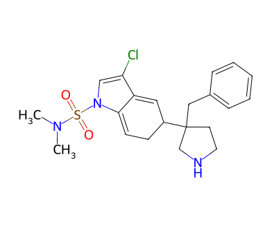 CN(C)S(=O)(=O)n1cc(Cl)c2c1=CCC(C1(Cc3ccccc3)CCNC1)C=2